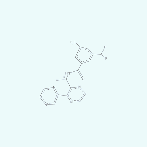 C[C@H](NC(=O)c1cc(C(F)F)cc(C(F)(F)F)c1)c1nccnc1-c1cnccn1